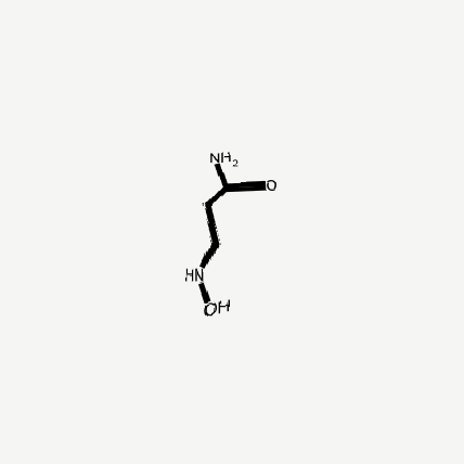 NC(=O)[CH]CNO